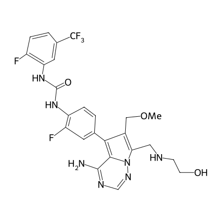 COCc1c(-c2ccc(NC(=O)Nc3cc(C(F)(F)F)ccc3F)c(F)c2)c2c(N)ncnn2c1CNCCO